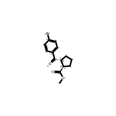 COC(=O)[C@@H]1CCC[C@H]1C(=O)c1ccc(Br)cc1